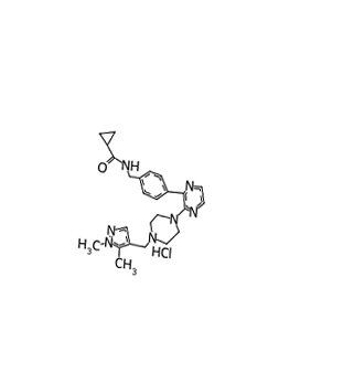 Cc1c(CN2CCN(c3nccnc3-c3ccc(CNC(=O)C4CC4)cc3)CC2)cnn1C.Cl